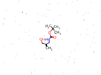 C=C(CO)CNC(=O)OC(C)(C)C